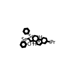 CC(C)C1=CC2=CC[C@@H]3[C@](C)(CCC[C@@]3(C)C(=O)C([Se]c3ccccc3)[Se]c3ccccc3)[C@H]2CC1